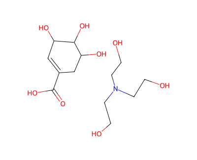 O=C(O)C1=CC(O)C(O)C(O)C1.OCCN(CCO)CCO